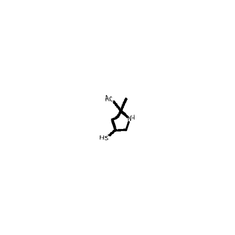 CC(=O)C1(C)CC(S)CN1